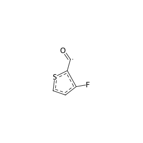 O=[C]c1sccc1F